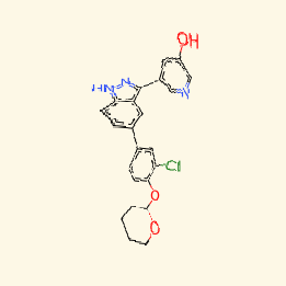 Oc1cncc(-c2n[nH]c3ccc(-c4ccc(OC5CCCCO5)c(Cl)c4)cc23)c1